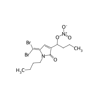 CCCCN1C(=O)C(C(CCC)O[N+](=O)[O-])=CC1=C(Br)Br